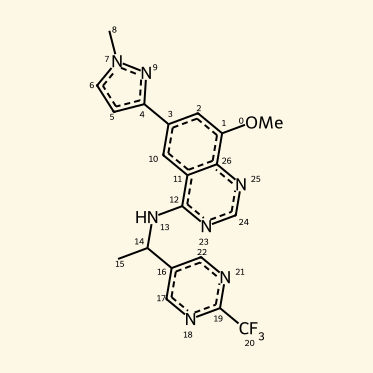 COc1cc(-c2ccn(C)n2)cc2c(NC(C)c3cnc(C(F)(F)F)nc3)ncnc12